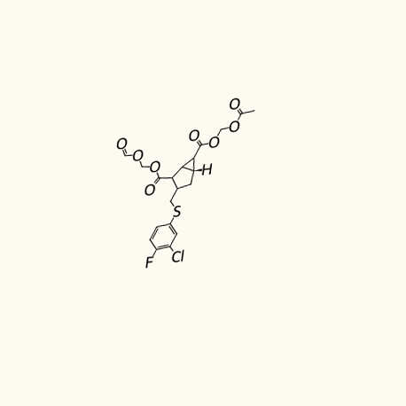 CC(=O)OCOC(=O)C1C2C(C(=O)OCOC=O)C(CSc3ccc(F)c(Cl)c3)C[C@@H]12